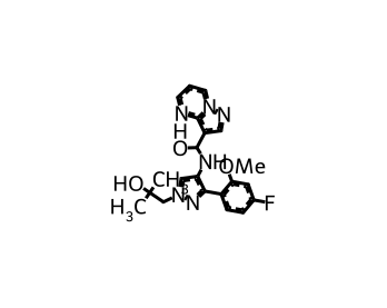 COc1cc(F)ccc1-c1nn(CC(C)(C)O)cc1NC(O)c1cnn2cccnc12